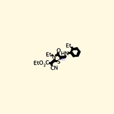 CCOC(=O)C(C#N)=c1s/c(=C/Nc2ccccc2CC)c(=O)n1CC